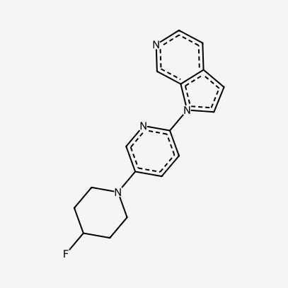 FC1CCN(c2ccc(-n3ccc4ccncc43)nc2)CC1